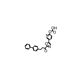 O=C(O)Oc1ccc(-c2cnc(C(=O)CCc3ccc(-c4ccccc4)cc3)o2)cn1